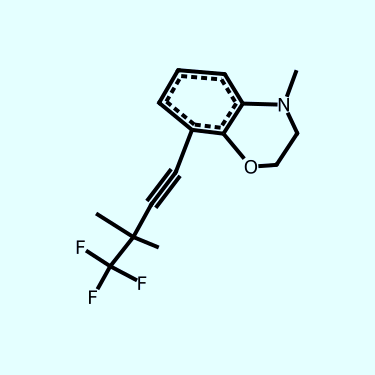 CN1CCOc2c(C#CC(C)(C)C(F)(F)F)cccc21